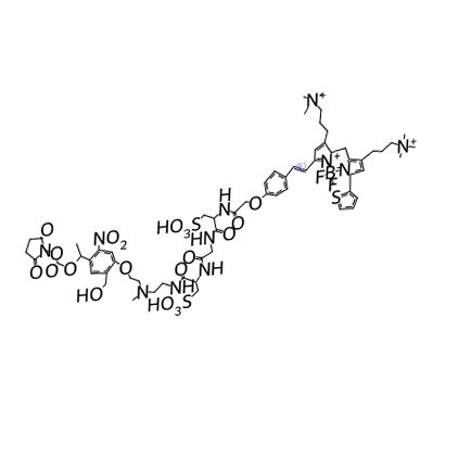 CC(OC(=O)ON1C(=O)CCC1=O)c1cc(CO)c(OCCN(C)CCNC(=O)C(CS(=O)(=O)O)NC(=O)CNC(=O)C(CS(=O)(=O)O)NC(=O)COc2ccc(/C=C/C3=[N+]4C(Cc5c(CCC[N+](C)(C)C)cc(-c6cccs6)n5[B-]4(F)F)C(CCC[N+](C)(C)C)=C3)cc2)cc1[N+](=O)[O-]